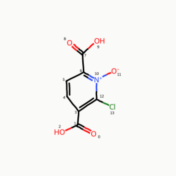 O=C(O)c1ccc(C(=O)O)[n+]([O-])c1Cl